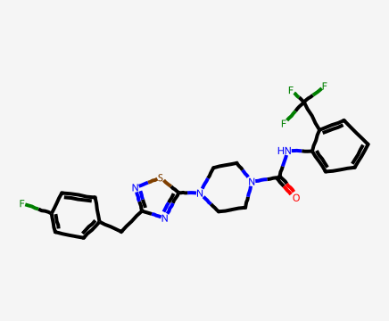 O=C(Nc1ccccc1C(F)(F)F)N1CCN(c2nc(Cc3ccc(F)cc3)ns2)CC1